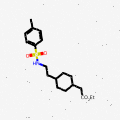 CCOC(=O)CC1CCC(CCNS(=O)(=O)c2ccc(C)cc2)CC1